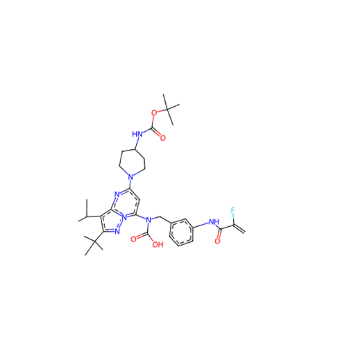 C=C(F)C(=O)Nc1cccc(CN(C(=O)O)c2cc(N3CCC(NC(=O)OC(C)(C)C)CC3)nc3c(C(C)C)c(C(C)(C)C)nn23)c1